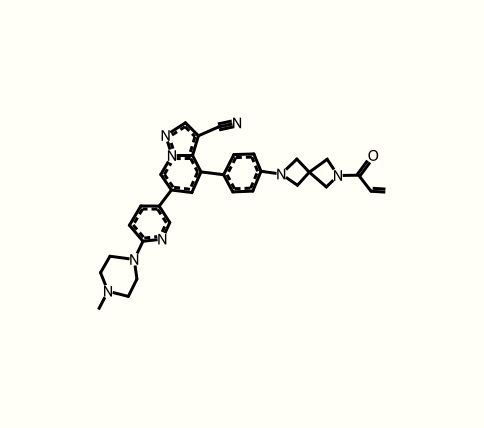 C=CC(=O)N1CC2(C1)CN(c1ccc(-c3cc(-c4ccc(N5CCN(C)CC5)nc4)cn4ncc(C#N)c34)cc1)C2